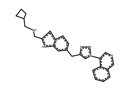 c1ccc2c(-n3cc(Cc4ccc5cc(CNCC6CCC6)[nH]c5c4)nn3)cncc2c1